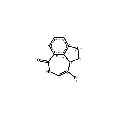 O=C1NC=C(Br)C2CNc3cccc1c32